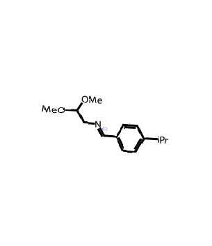 COC(C/N=C/c1ccc(C(C)C)cc1)OC